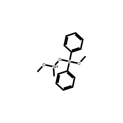 CO[SiH](C)O[Si](OC)(c1ccccc1)c1ccccc1